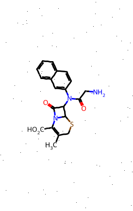 CC1=C(C(=O)O)N2C(=O)C(N(C(=O)CN)c3ccc4ccccc4c3)C2SC1